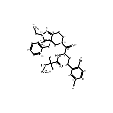 CC(C)(NC(=O)O)C(=O)NC(CCc1cc(F)ccc1Br)C(=O)N1CCC2=NN(CC(F)(F)F)C(=O)[C@]2(Cc2ccccn2)C1